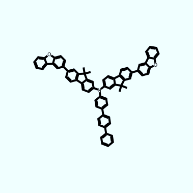 CC1(C)c2cc(-c3ccc4oc5ccccc5c4c3)ccc2-c2ccc(N(c3ccc(-c4ccc(-c5ccccc5)cc4)cc3)c3ccc4c(c3)C(C)(C)c3cc(-c5ccc6oc7ccccc7c6c5)ccc3-4)cc21